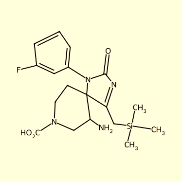 C[Si](C)(C)CC1=NC(=O)N(c2cccc(F)c2)C12CCN(C(=O)O)CC2N